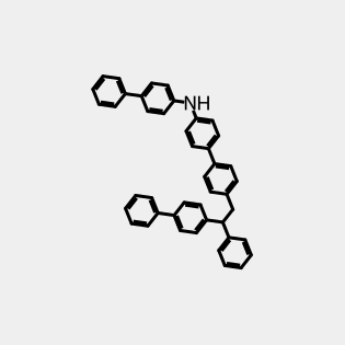 c1ccc(-c2ccc(Nc3ccc(-c4ccc(CC(c5ccccc5)c5ccc(-c6ccccc6)cc5)cc4)cc3)cc2)cc1